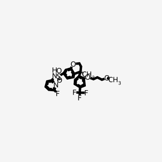 COCCCOc1cc(C(F)(F)F)ccc1[C@]1(C)CCOc2cc(S(=O)(=O)Nc3cccc(F)n3)ccc21